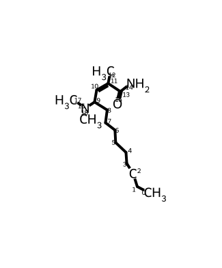 CCCCCCCCCC(C=C(C)C(N)=O)N(C)C